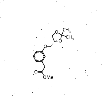 COC(=O)Cc1cccc(OC[C@@H]2COC(C)(C)O2)c1